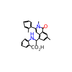 Cc1cc(C(C)Nc2ccccc2C(=O)O)c2cc(-c3ccccc3C)n(C)c(=O)c2c1